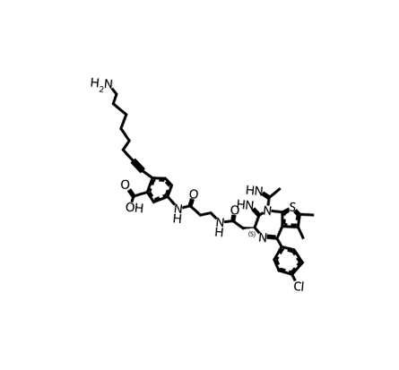 CC(=N)N1C(=N)[C@H](CC(=O)NCCC(=O)Nc2ccc(C#CCCCCCCN)c(C(=O)O)c2)N=C(c2ccc(Cl)cc2)c2c1sc(C)c2C